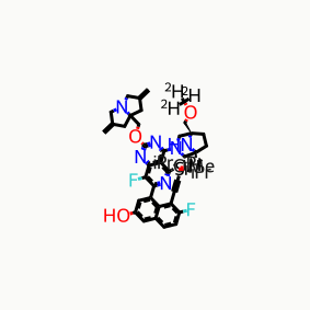 [2H]C([2H])([2H])OC[C@]12CC[C@H](CN(c3nc(OCC45CC(=C)CN4CC(=C)C5)nc4c(F)c(-c5cc(O)cc6ccc(F)c(C#C[Si](C(C)C)(C(C)C)C(C)C)c56)nc(OC)c34)C1)N2